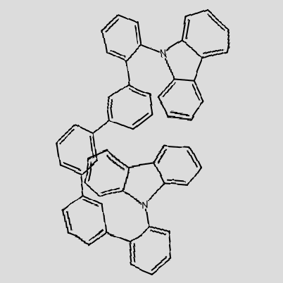 c1cc(-c2cccc(-c3ccccc3-n3c4ccccc4c4ccccc43)c2)cc(-c2cccc(-c3ccccc3-n3c4ccccc4c4ccccc43)c2)c1